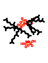 CC(C)=CCC/C(C)=C/CC(/C=C(\C)CCC=C(C)C)OP(=O)(OC(/C=C(\C)CCC=C(C)C)C/C=C(\C)CCC=C(C)C)OP(=O)(OC(/C=C(\C)CCC=C(C)C)C/C=C(\C)CCC=C(C)C)OC(/C=C(\C)CCC=C(C)C)C/C=C(\C)CCC=C(C)C.O=P(O)(O)OP(=O)(O)O